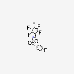 O=S(=O)(/C=C/c1c(F)c(F)c(F)c(F)c1F)Cc1ccc(F)cc1